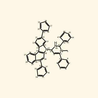 CN1C(c2ccccc2)=CC(n2c3cc(-c4ccccc4)ccc3c3c4ccccc4c(-c4ccccc4)cc32)NC1c1ccccc1